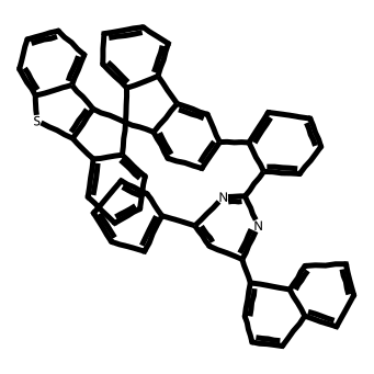 c1ccc(-c2cc(-c3cccc4ccccc34)nc(-c3ccccc3-c3ccc4c(c3)-c3ccccc3C43c4ccccc4-c4sc5ccccc5c43)n2)cc1